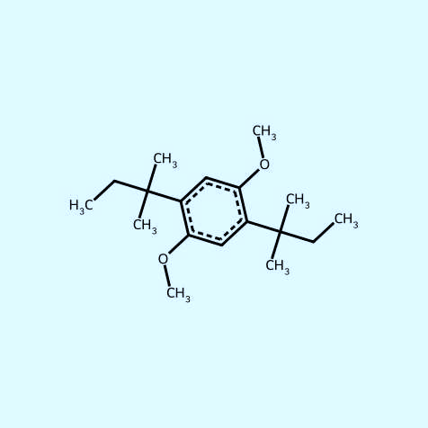 CCC(C)(C)c1cc(OC)c(C(C)(C)CC)cc1OC